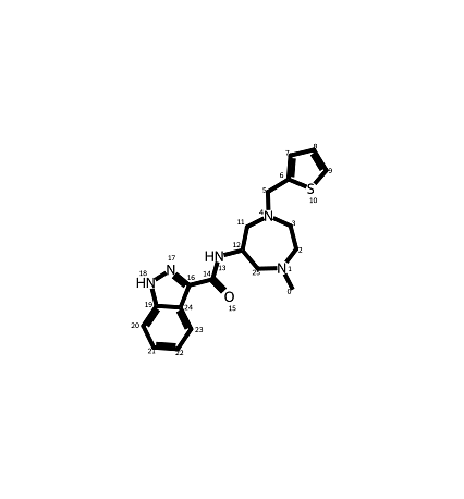 CN1CCN(Cc2cccs2)CC(NC(=O)c2n[nH]c3ccccc23)C1